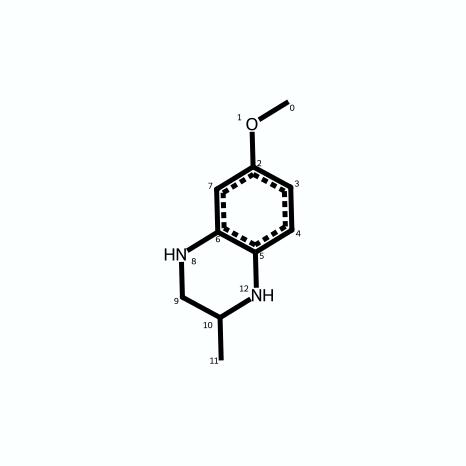 COc1ccc2c(c1)NCC(C)N2